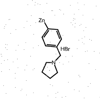 Br.[Zn][c]1ccc(CN2CCCC2)cc1